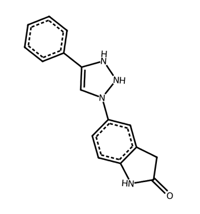 O=C1Cc2cc(N3C=C(c4ccccc4)NN3)ccc2N1